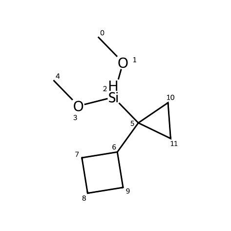 CO[SiH](OC)C1(C2CCC2)CC1